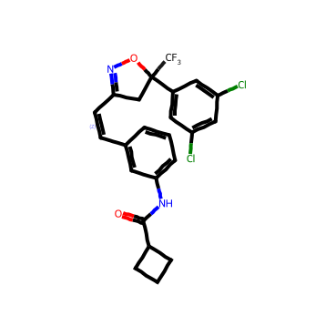 O=C(Nc1cccc(/C=C\C2=NOC(c3cc(Cl)cc(Cl)c3)(C(F)(F)F)C2)c1)C1CCC1